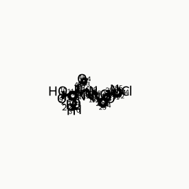 [2H]C([2H])([2H])Oc1cc(C(=O)O)cc2c1nc(CN1CCN(c3cccc4c3OC(C)(c3ccc(Cl)cn3)O4)C=N1)n2C[C@@H]1CCO1